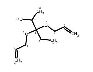 C=CCOC(CC)(OCC=C)C(C)[O]